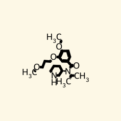 CCOc1ccc(C(=O)N(C(C)C)[C@@H]2CCCNC2)cc1OCCCOC